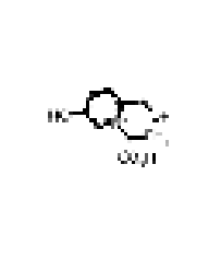 C[C@H](C(=O)O)[n+]1cc(O)ccc1CO